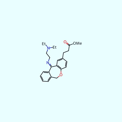 CCN(CC)CC/N=C1/c2ccccc2COc2ccc(CCC(=O)OC)cc21